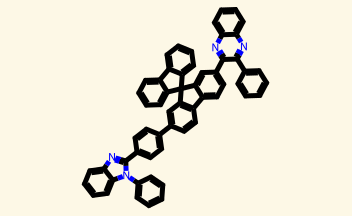 c1ccc(-c2nc3ccccc3nc2-c2ccc3c(c2)C2(c4ccccc4-c4ccccc42)c2cc(-c4ccc(-c5nc6ccccc6n5-c5ccccc5)cc4)ccc2-3)cc1